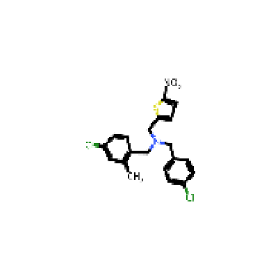 Cc1cc(Cl)ccc1CN(Cc1ccc(Cl)cc1)Cc1ccc([N+](=O)[O-])s1